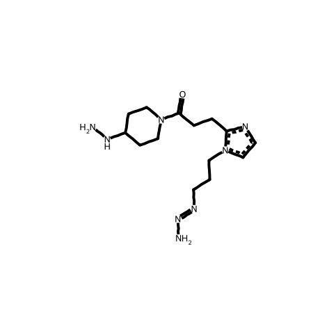 NN=NCCCn1ccnc1CCC(=O)N1CCC(NN)CC1